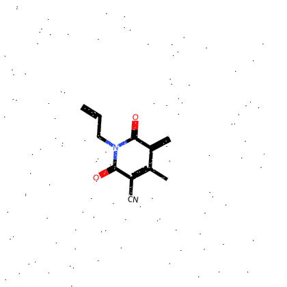 C=CCN1C(=O)C(=C)C(C)=C(C#N)C1=O